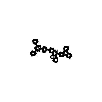 c1ccc(-c2cc(-c3ccccc3)nc(-c3ccc(-c4ccc5nc(-c6ccc7c8ccccc8c8ccccc8c7c6)c6c7ccccc7oc6c5c4)cc3)n2)cc1